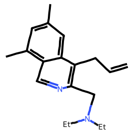 C=CCc1c(CN(CC)CC)ncc2c(C)cc(C)cc12